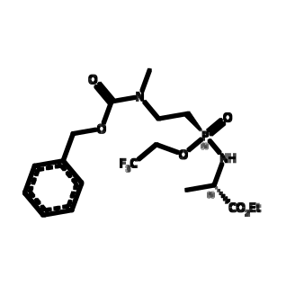 CCOC(=O)[C@H](C)N[P@](=O)(CCN(C)C(=O)OCc1ccccc1)OCC(F)(F)F